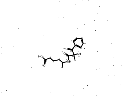 CC(CCCC(=O)O)NC(=O)C(C)(S)C(=O)c1ccccc1